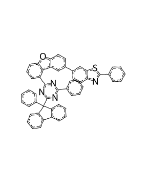 c1ccc(-c2nc(-c3cccc4oc5ccc(-c6ccc7nc(-c8ccccc8)sc7c6)cc5c34)nc(C3(c4ccccc4)c4ccccc4-c4ccccc43)n2)cc1